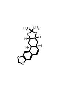 CC1(C)O[C@H]2C[C@H]3c4cc5c(cc4C=C[C@H]3C[C@H]2O1)OCO5